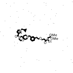 CCN(CC(OC)OC)C(=O)CCOCCc1cccc(CN2CCC3(CC2)CN(C(=O)c2ccn(CC4CC4)n2)CCO3)c1